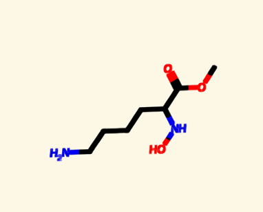 COC(=O)C(CCCCN)NO